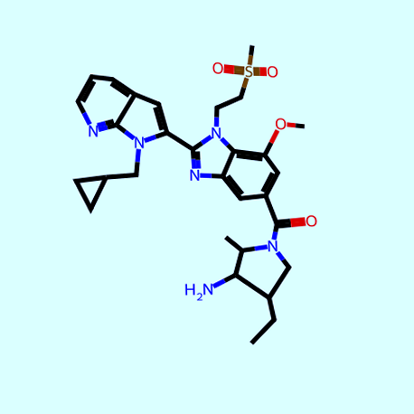 CCC1CN(C(=O)c2cc(OC)c3c(c2)nc(-c2cc4cccnc4n2CC2CC2)n3CCS(C)(=O)=O)C(C)C1N